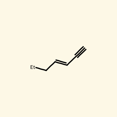 C#C/C=C/CC[CH2]